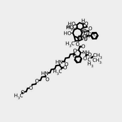 COCCOCCOCCC(=O)NCCCCC(NC(=O)CCCC(=O)O[C@@H](C(=O)O[C@]12C[C@@]3(O)[C@@H](OC(=O)c4ccccc4)[C@@H]4[C@]5(OC(C)=O)CO[C@@H]5C[C@H](O)[C@@]4(C)[C@H](O)[C@H](O)C([C@@H]1C)[C@]32C)[C@@H](NC(=O)OC(C)(C)C)c1ccccc1)C(C)=O